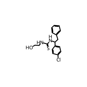 OCCNC(=S)NC(Cc1ccccc1)c1ccc(Cl)cc1